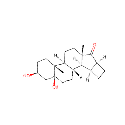 C[C@]12CC[C@H]3[C@@H](CC[C@]4(O)C[C@@H](O)CC[C@]34C)[C@@H]1[C@@H]1CC[C@@H]1C2=O